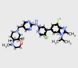 Cc1nc2c(F)cc(-c3cc(Nc4ncc(CN5CC[C@H]6[C@H](C5)OCCN6C)cn4)ncc3F)cc2n1C(C)C